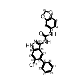 O=C(Nc1ccc2c(c1)OCO2)Nc1n[nH]c2cc(Cl)c(-c3ccccc3)cc12